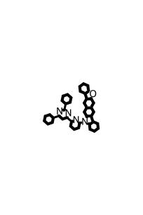 c1ccc(-c2cc(-c3cccc(-n4c5ccccc5c5cc6cc7oc8ccccc8c7cc6cc54)n3)nc(-c3ccccc3)n2)cc1